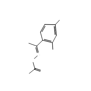 CC(=O)ON=C(C)c1ccc(Cl)cc1Cl